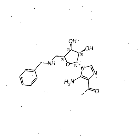 CC(=O)c1ncn([C@@H]2O[C@H](CNCc3ccccc3)[C@@H](O)[C@H]2O)c1N